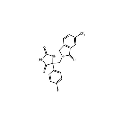 O=C1NC(=O)C(CN2Cc3ccc(C(F)(F)F)cc3C2=O)(c2ccc(F)cc2)N1